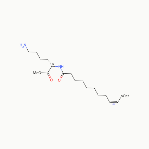 CCCCCCCC/C=C\CCCCCCCC(=O)N[C@@H](CCCCN)C(=O)OC